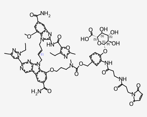 CCc1nc(C)oc1C(=O)Nc1nc2cc(C(N)=O)cc(OC)c2n1C/C=C/Cn1c2nc(-c3cc(C)nn3CC)ncc2c2cc(C(N)=O)cc(OCCCN(C)C(=O)OCc3ccc(O[C@@H]4O[C@H](C(=O)O)[C@@H](O)[C@H](O)[C@H]4O)c(NC(=O)CCNC(=O)CCN4C(=O)C=CC4=O)c3)c21